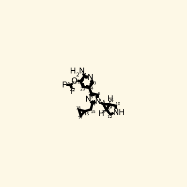 Nc1ncc(-c2cn(C3[C@H]4CNC[C@@H]34)c(CC3CC3)n2)cc1OC(F)F